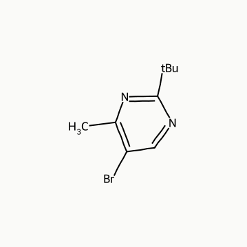 Cc1nc(C(C)(C)C)ncc1Br